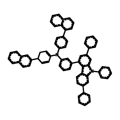 C1=CC(c2ccc3ccccc3c2)CC=C1N(c1ccc(-c2cccc3ccccc23)cc1)c1cccc(-c2cc(-c3ccccc3)cc3c2c2ccc(-c4ccccc4)cc2n3-c2ccccc2)c1